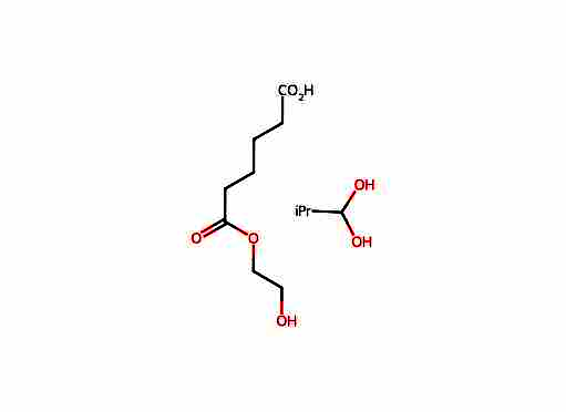 CC(C)C(O)O.O=C(O)CCCCC(=O)OCCO